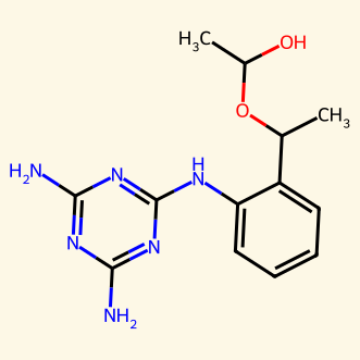 CC(O)OC(C)c1ccccc1Nc1nc(N)nc(N)n1